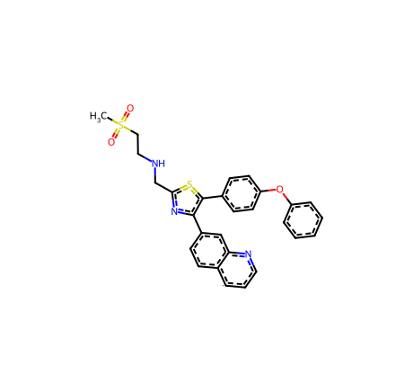 CS(=O)(=O)CCNCc1nc(-c2ccc3[c]ccnc3c2)c(-c2ccc(Oc3ccccc3)cc2)s1